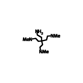 CNCCC(CCN)(CCNC)CCNC